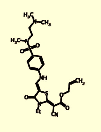 C=CCOC(=O)C(C#N)=c1sc(=CNc2ccc(S(=O)(=O)N(C)CCN(C)C)cc2)c(=O)n1CC